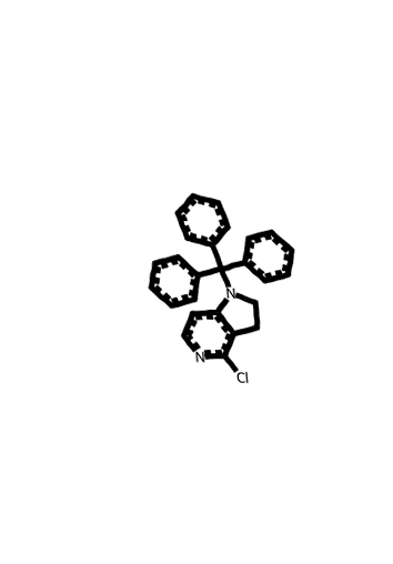 Clc1nccc2c1CCN2C(c1ccccc1)(c1ccccc1)c1ccccc1